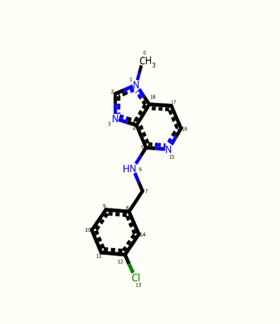 Cn1cnc2c(NCc3cccc(Cl)c3)nccc21